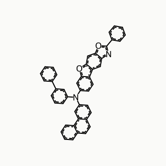 c1ccc(-c2cccc(N(c3ccc4c(c3)oc3cc5oc(-c6ccccc6)nc5cc34)c3ccc4ccc5ccccc5c4c3)c2)cc1